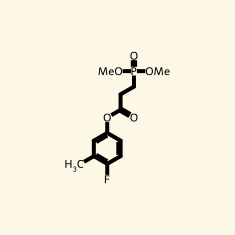 COP(=O)(CCC(=O)Oc1ccc(F)c(C)c1)OC